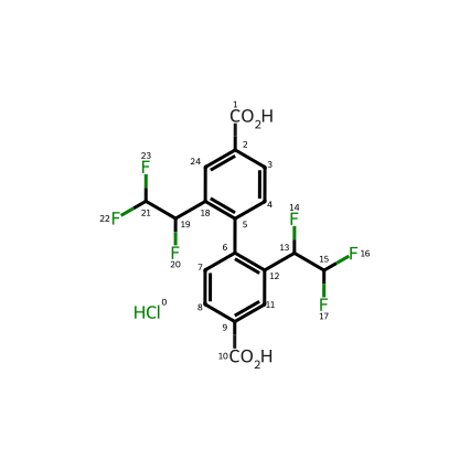 Cl.O=C(O)c1ccc(-c2ccc(C(=O)O)cc2C(F)C(F)F)c(C(F)C(F)F)c1